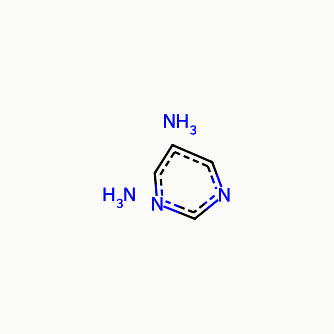 N.N.c1cncnc1